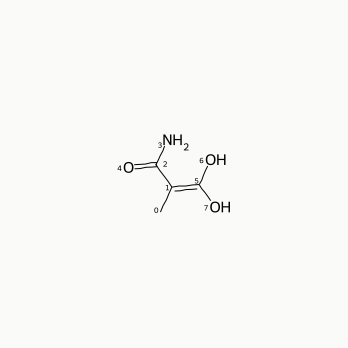 CC(C(N)=O)=C(O)O